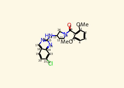 COc1cccc(OC)c1C(=O)N1CCC(Nc2ncc3ccc(Cl)cc3n2)C1